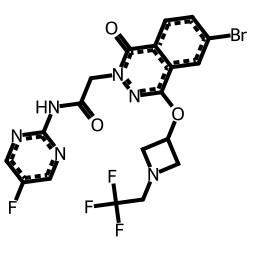 O=C(Cn1nc(OC2CN(CC(F)(F)F)C2)c2cc(Br)ccc2c1=O)Nc1ncc(F)cn1